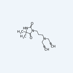 C#CCN(CC#C)CCCN1C(=O)NC(C)(C)C1=O